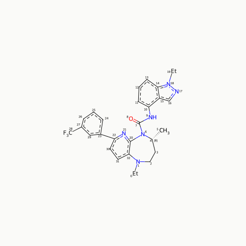 CCN1CC[C@@H](C)N(C(=O)Nc2cccc3c2cnn3CC)c2nc(-c3cccc(C(F)(F)F)c3)ccc21